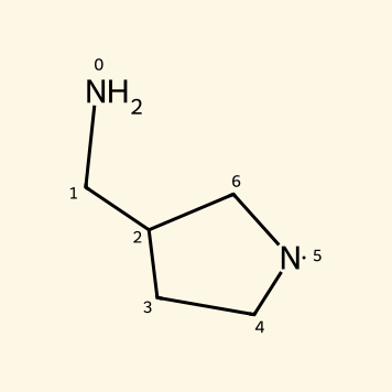 NCC1CC[N]C1